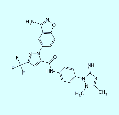 Cc1cc(=N)n(-c2ccc(NC(=O)c3cc(C(F)(F)F)nn3-c3ccc4onc(N)c4c3)cc2)n1C